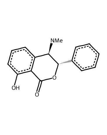 CN[C@@H]1c2cccc(O)c2C(=O)O[C@H]1c1ccccc1